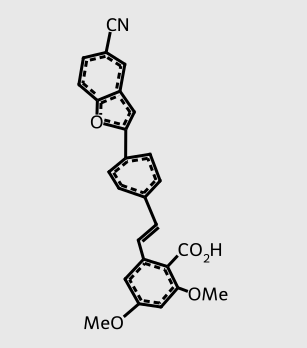 COc1cc(C=Cc2ccc(-c3cc4cc(C#N)ccc4o3)cc2)c(C(=O)O)c(OC)c1